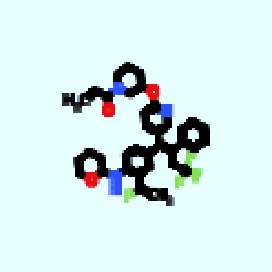 C=CC(=O)N1CCCC(Oc2ccc(/C(=C(/CC(F)(F)F)c3ccccc3)c3ccc(NC4CCCCO4)c(C(=C)F)c3)cn2)C1